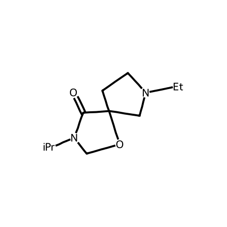 CCN1CCC2(C1)OCN(C(C)C)C2=O